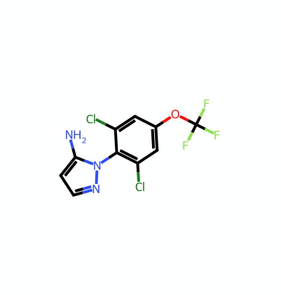 Nc1ccnn1-c1c(Cl)cc(OC(F)(F)F)cc1Cl